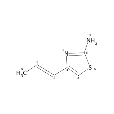 C/C=[C]/c1csc(N)n1